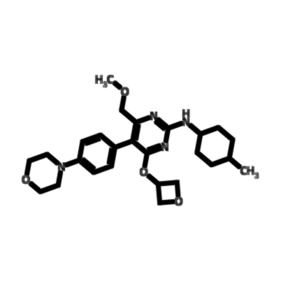 COCc1nc(NC2CCC(C)CC2)nc(OC2COC2)c1-c1ccc(N2CCOCC2)cc1